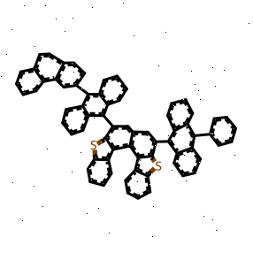 c1ccc(-c2c3ccccc3c(-c3cc4cc(-c5c6ccccc6c(-c6ccc7ccc8ccccc8c7c6)c6ccccc56)c5sc6ccccc6c5c4c4c3sc3ccccc34)c3ccccc23)cc1